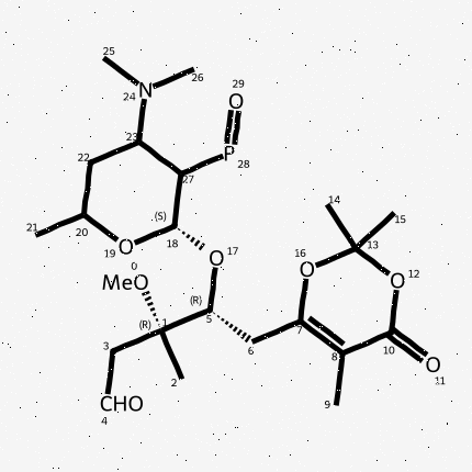 CO[C@](C)(CC=O)[C@@H](CC1=C(C)C(=O)OC(C)(C)O1)O[C@@H]1OC(C)CC(N(C)C)C1P=O